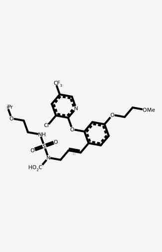 COCCOc1ccc(/C=C/CN(C(=O)O)S(=O)(=O)NCCOC(C)C)c(Oc2ncc(C(F)(F)F)cc2Cl)c1